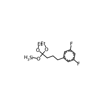 CCOC(CCCc1cc(F)cc(F)c1)(O[SiH3])OCC